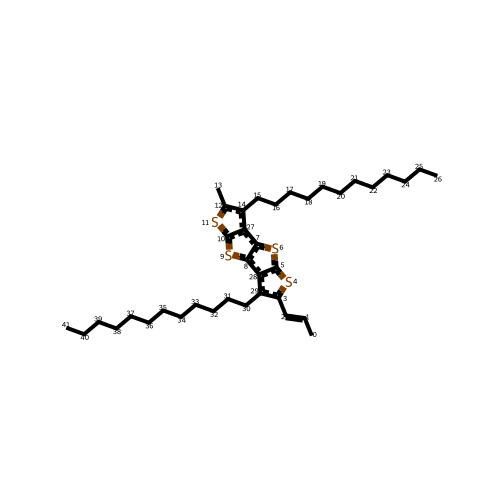 C/C=C/c1sc2sc3c(sc4sc(C)c(CCCCCCCCCCCC)c43)c2c1CCCCCCCCCCCC